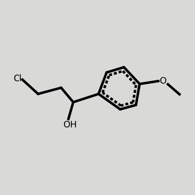 COc1ccc(C(O)CCCl)cc1